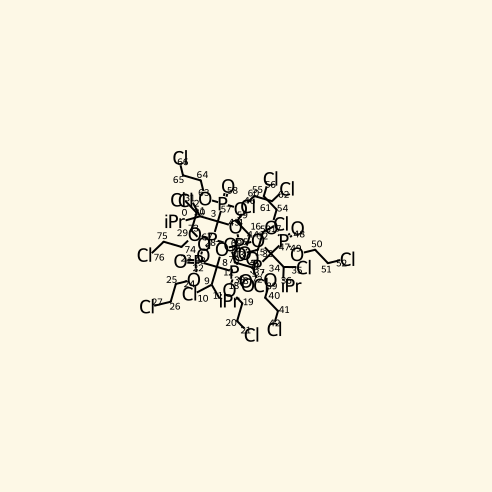 CC(C)C(Cl)C(OP(=O)(OC(C(Cl)C(C)C)(P(=O)(OCCCl)OCCCl)P(=O)(OCCCl)OCCCl)OC(C(Cl)C(C)C)(P(=O)(OCCCl)OCCCl)P(=O)(OCCCl)OCCCl)(P(=O)(OCCCl)OCCCl)P(=O)(OCCCl)OCCCl